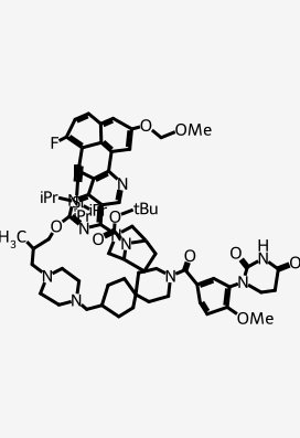 COCOc1cc(-c2ncc3c(N4CC5CCC(C4)N5C(=O)OC(C)(C)C)nc(OCC(C)CN4CCN(CC5CCC6(CC5)CCN(C(=O)c5ccc(OC)c(N7CCC(=O)NC7=O)c5)CC6)CC4)nc3c2F)c2c(C#C[Si](C(C)C)(C(C)C)C(C)C)c(F)ccc2c1